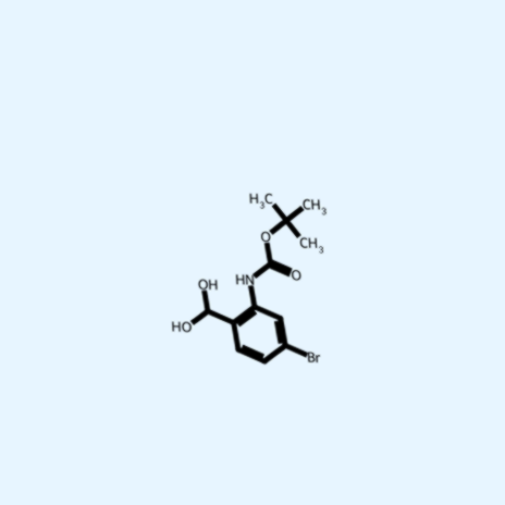 CC(C)(C)OC(=O)Nc1cc(Br)ccc1C(O)O